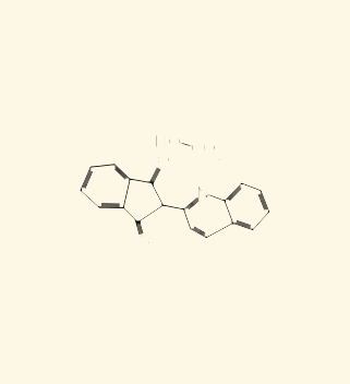 O=C(O)O.O=C1c2ccccc2C(=O)C1c1ccc2ccccc2n1